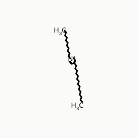 CCCCCCCCCCCCCCCCc1cc[n+](CCCCCCCCCCC)cc1